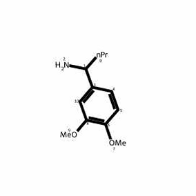 CCCC(N)c1ccc(OC)c(OC)c1